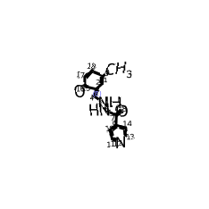 CC1=C/C(=C\NNC(=O)c2ccncc2)C(=O)C=C1